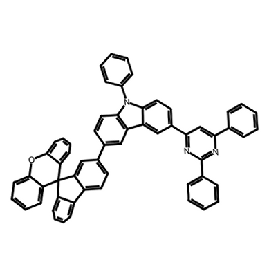 c1ccc(-c2cc(-c3ccc4c(c3)c3cc(-c5ccc6c(c5)C5(c7ccccc7Oc7ccccc75)c5ccccc5-6)ccc3n4-c3ccccc3)nc(-c3ccccc3)n2)cc1